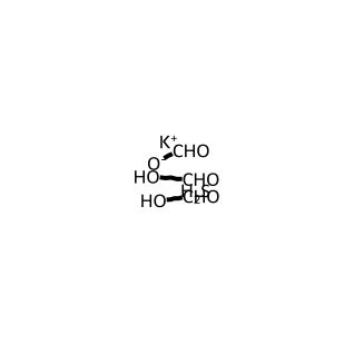 O=CO.O=CO.O=C[O-].S.[K+]